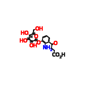 Nc1c(O[C@@H]2O[C@H](CO)[C@@H](O)[C@H](O)[C@H]2O)cccc1C(=O)CCC(=O)O